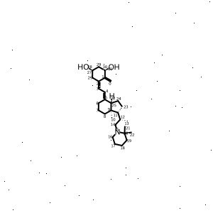 C=C1/C(=C\C=C2/CCC[C@]3(C)[C@@H]([C@H](C)CN4CCCCC4(C)C)CC[C@@H]23)C[C@@H](O)C[C@H]1O